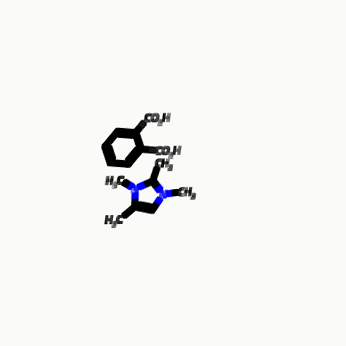 CC1=CN(C)C(C)N1C.O=C(O)c1ccccc1C(=O)O